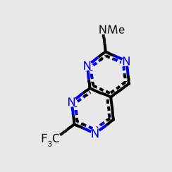 CNc1ncc2cnc(C(F)(F)F)nc2n1